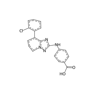 O=C(O)c1ccc(Nc2nc3c(-c4ccccc4Cl)cccn3n2)cc1